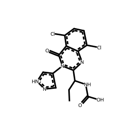 CCC(NC(=O)O)c1nc2c(Cl)ccc(Cl)c2c(=O)n1-c1cn[nH]c1